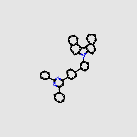 c1ccc(-c2cc(-c3ccc(-c4cccc(-n5c6ccc7ccccc7c6c6c7ccccc7ccc65)c4)cc3)nc(-c3ccccc3)n2)cc1